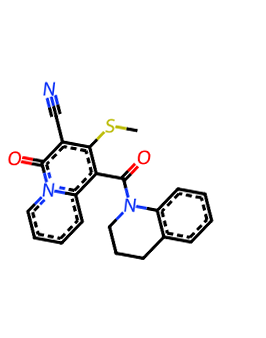 CSc1c(C#N)c(=O)n2ccccc2c1C(=O)N1CCCc2ccccc21